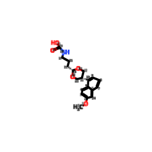 COc1ccc2c(cccc2[C@H]2CO[C@@H](CCCNC(=O)O)OC2)c1